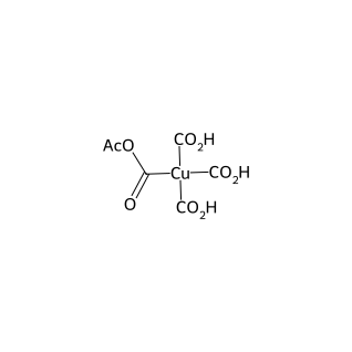 CC(=O)O[C](=O)[Cu]([C](=O)O)([C](=O)O)[C](=O)O